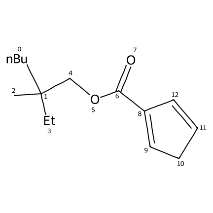 CCCCC(C)(CC)COC(=O)C1=CCC=C1